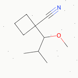 COC(C(C)C)C1(C#N)CCC1